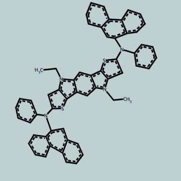 CCn1c2cc3c4sc(N(c5ccccc5)c5cc6ccccc6c6ccccc56)cc4n(CC)c3cc2c2sc(N(c3ccccc3)c3cc4ccccc4c4ccccc34)cc21